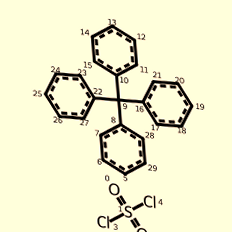 O=S(=O)(Cl)Cl.c1ccc(C(c2ccccc2)(c2ccccc2)c2ccccc2)cc1